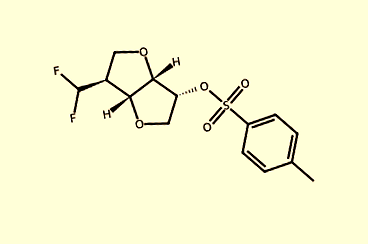 Cc1ccc(S(=O)(=O)O[C@@H]2CO[C@H]3[C@@H]2OC[C@@H]3C(F)F)cc1